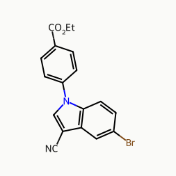 CCOC(=O)c1ccc(-n2cc(C#N)c3cc(Br)ccc32)cc1